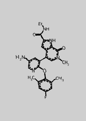 CCNC(=O)c1cc2c(-c3cc(N)cnc3Oc3c(C)cc(F)cc3C)cn(C)c(=O)c2[nH]1